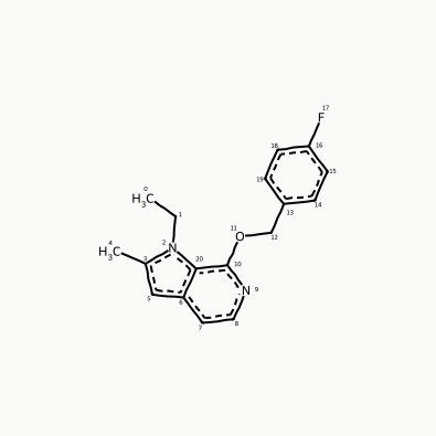 CCn1c(C)cc2ccnc(OCc3ccc(F)cc3)c21